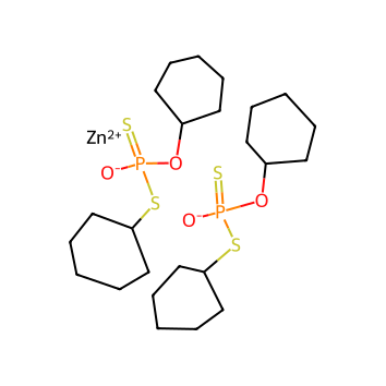 [O-]P(=S)(OC1CCCCC1)SC1CCCCC1.[O-]P(=S)(OC1CCCCC1)SC1CCCCC1.[Zn+2]